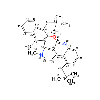 Cc1c2c(c(CC(C)(C)C)c3ccccc13)Oc1nc3cccc(CC(C)(C)C)c3c3cc[n+](C)c-2c13